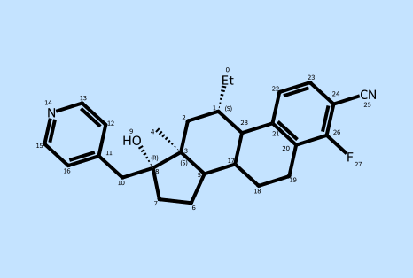 CC[C@H]1C[C@@]2(C)C(CC[C@@]2(O)Cc2ccncc2)C2CCc3c(ccc(C#N)c3F)C21